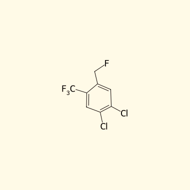 FCc1cc(Cl)c(Cl)cc1C(F)(F)F